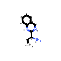 C=CC(N)c1ncc2ccccc2n1